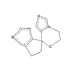 c1cc2c(cn1)CCC21OCCn2cncc21